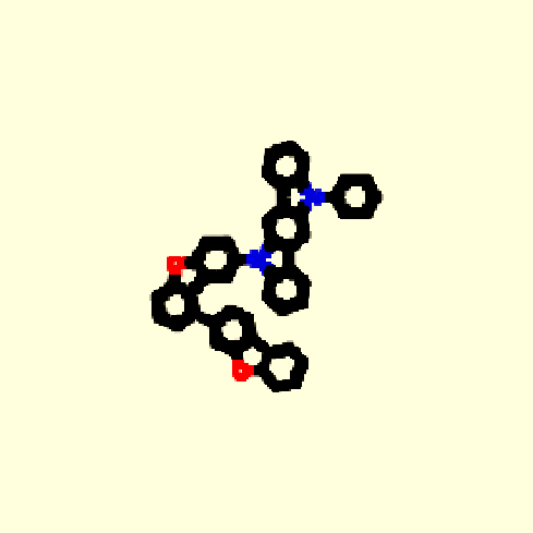 C1=CCC2Oc3cc(-c4cccc5oc6ccc(-n7c8ccccc8c8cc9c(cc87)c7ccccc7n9-c7ccccc7)cc6c45)ccc3C2=C1